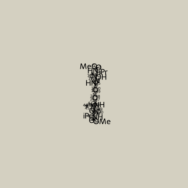 COC(=O)N[C@@H](C(C)C)C(O)N1CCC[C@H]1c1ncc(-c2ccc(-c3ccc(-c4[nH]c([C@@H]5CCCN5C(=O)[C@@H](NC(=O)OC)C(C)C)nc4CC4CC4)cc3)cc2)[nH]1